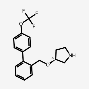 FC(F)(F)Oc1ccc(-c2ccccc2CO[C@H]2CCNC2)cc1